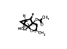 CC(=O)O[C@@]12C[C@H](C)O[C@@H]1[C@@]1(O)C[C@H]1C2F